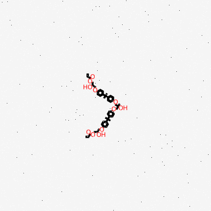 C=CC(=O)OCC(O)COc1ccc(C(C)(C)c2ccc(OCC(C)(O)COc3ccc(C(C)(C)c4ccc(OCC(O)COC(=O)C=C)cc4)cc3)cc2)cc1